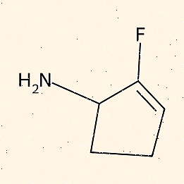 NC1CCC=C1F